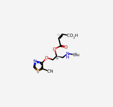 CC(C)(C)NC[C@@H](COc1ncsc1C#N)OC(=O)/C=C\C(=O)O